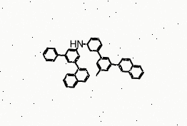 Cc1cc(C2=CC=CC(Nc3cc(-c4ccccc4)cc(-c4cccc5ccccc45)c3)C2)cc(-c2ccc3ccccc3c2)c1